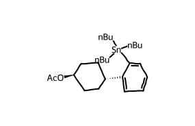 CCC[CH2][Sn]([CH2]CCC)([CH2]CCC)[c]1ccccc1[C@H]1CC[C@H](OC(C)=O)CC1